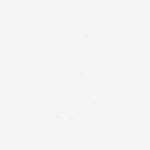 Cc1n[nH]c(O)c1-n1ccc(-c2nccs2)n1